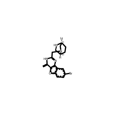 C=C1NC(CN2C[C@@H]3CC[C@H]2CN3)=Nc2c1oc1ccc(Br)cc21